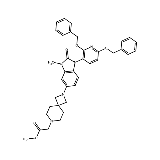 COC(=O)CN1CCC2(CC1)CN(c1ccc3c(c1)n(C)c(=O)n3-c1ccc(OCc3ccccc3)nc1OCc1ccccc1)C2